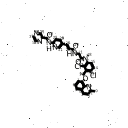 Cc1ccc2cccc(OCc3c(Cl)ccc(N(C)C(=O)CNC(=O)C=Cc4ccc(NC(=O)c5cnccn5)nc4)c3Cl)c2n1